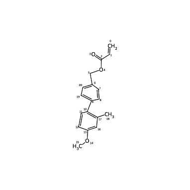 C=CC(=O)OCc1ccc(-c2ccc(OC)cc2C)cc1